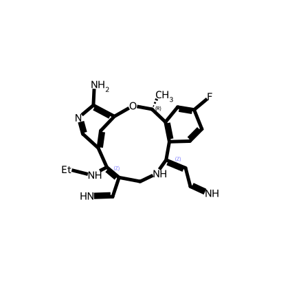 CCN/C1=C(\C=N)CN/C(=C\C=N)c2ccc(F)cc2[C@@H](C)Oc2cc1cnc2N